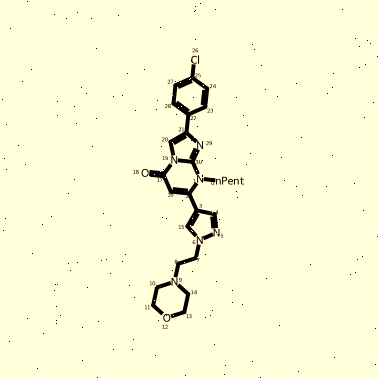 CCCCCn1c(-c2cnn(CCN3CCOCC3)c2)cc(=O)n2cc(-c3ccc(Cl)cc3)nc12